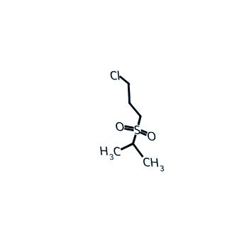 CC(C)S(=O)(=O)CCCCl